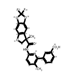 Cc1ccc(NC(=O)[C@]2(C)COc3cc4c(cc32)OC(F)(F)O4)nc1-c1cccc(C(=O)O)c1